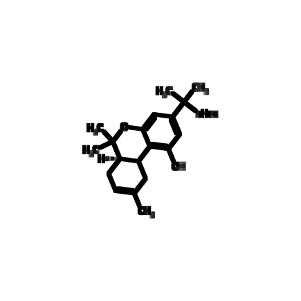 CCCCCCC(C)(C)c1cc(O)c2c(c1)OC(C)(C)[C@@H]1CC=C(C)CC21